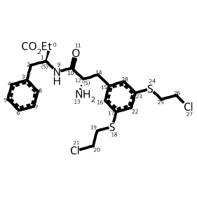 CCOC(=O)[C@H](Cc1ccccc1)NC(=O)[C@@H](N)Cc1cc(SCCCl)cc(SCCCl)c1